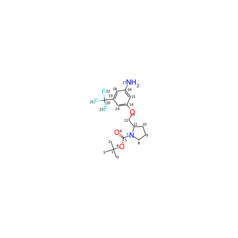 CC(C)(C)OC(=O)N1CCCC1COc1cc(N)cc(C(F)(F)F)c1